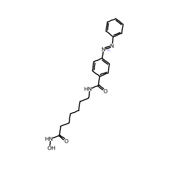 O=C(CCCCCCNC(=O)c1ccc(/N=N/c2ccccc2)cc1)NO